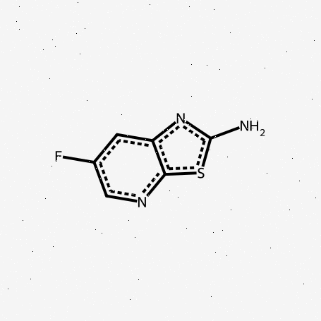 Nc1nc2cc(F)cnc2s1